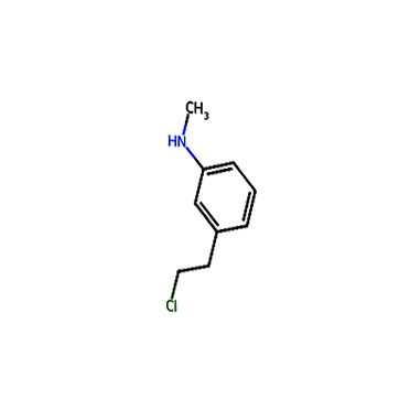 CNc1cccc(CCCl)c1